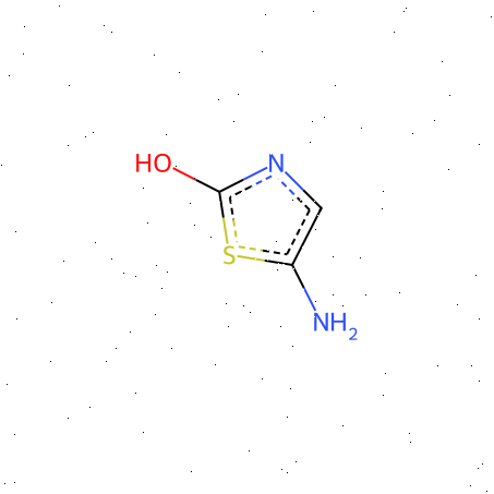 Nc1cnc(O)s1